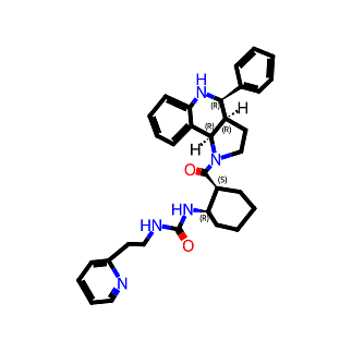 O=C(NCCc1ccccn1)N[C@@H]1CCCC[C@@H]1C(=O)N1CC[C@@H]2[C@H](c3ccccc3)Nc3ccccc3[C@@H]21